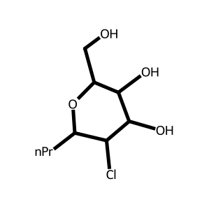 CCCC1OC(CO)C(O)C(O)C1Cl